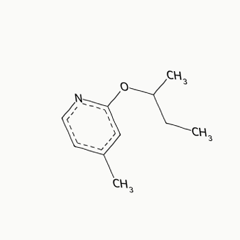 CCC(C)Oc1cc(C)ccn1